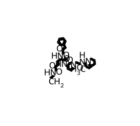 C=CCNC(=O)C(=O)CCC(NC(=O)c1cc2ccccc2o1)C(=O)Nc1cccn(CC(=O)NC2C(C)CC3CCCN2C3)c1=O